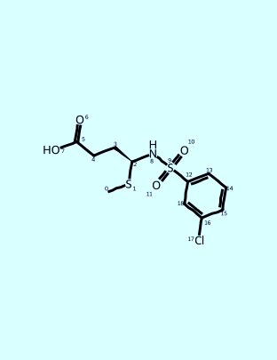 CS[C@@H](CCC(=O)O)NS(=O)(=O)c1cccc(Cl)c1